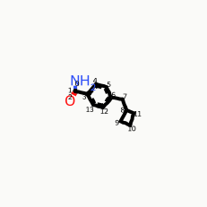 NC(=O)c1ccc(CC2CCC2)cc1